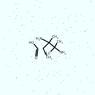 CCC(C)(N)C(C)(C)N.O=CO